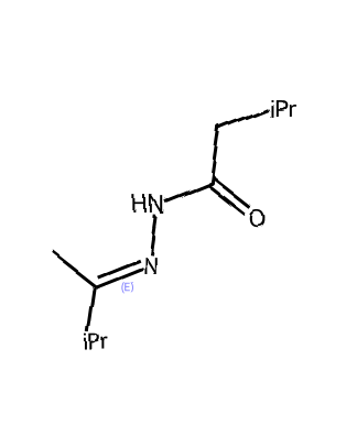 C/C(=N\NC(=O)CC(C)C)C(C)C